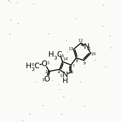 COC(=O)c1[nH]cc(-c2ccncc2)c1C